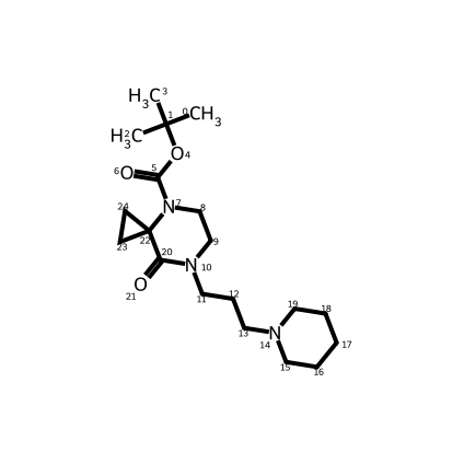 CC(C)(C)OC(=O)N1CCN(CCCN2CCCCC2)C(=O)C12CC2